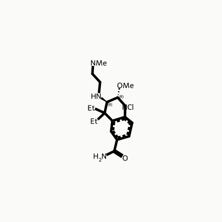 CCC1(CC)c2cc(C(N)=O)ccc2C[C@@H](OC)[C@@H]1NCCNC.Cl